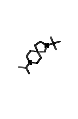 CC(C)N1CCC2(CC1)CCN(C(C)(C)C)C2